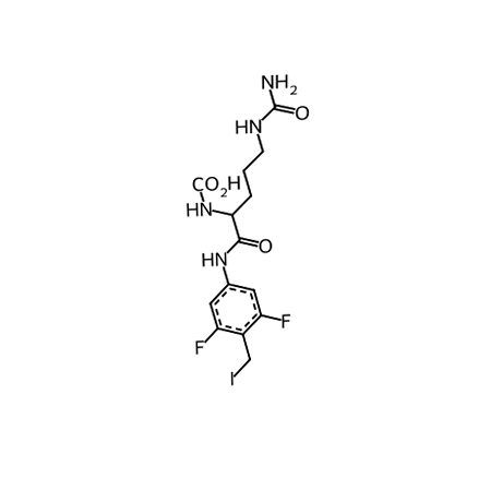 NC(=O)NCCCC(NC(=O)O)C(=O)Nc1cc(F)c(CI)c(F)c1